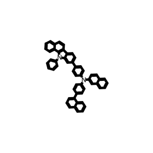 c1ccc(-n2c3cc(-c4ccc(N(c5ccc(-c6cccc7ccccc67)cc5)c5ccc6ccccc6c5)cc4)ccc3c3ccc4ccccc4c32)cc1